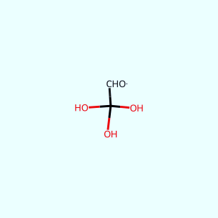 O=[C]C(O)(O)O